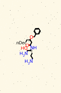 CCCCCCCCCCC[C@H](CC(=O)N[C@H](CCCN)C(N)O)OCc1ccccc1